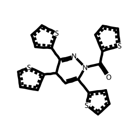 O=C(c1cccs1)N1N=C(c2cccs2)C(c2cccs2)C=C1c1cccs1